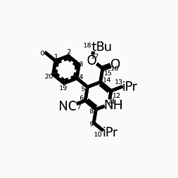 Cc1ccc(C2C(C#N)=C(CC(C)C)NC(C(C)C)=C2C(=O)OC(C)(C)C)cc1